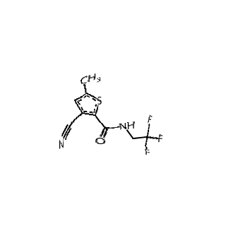 Cc1cc(C#N)c(C(=O)NCC(F)(F)F)s1